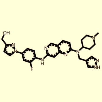 CN1CCC(N(Cc2cn[nH]c2)c2ccc3cnc(Nc4ccc(-n5ccc(CO)n5)cc4F)cc3n2)CC1